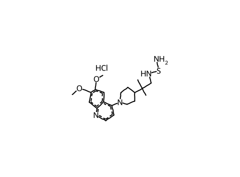 COc1cc2nccc(N3CCC(C(C)(C)CNSN)CC3)c2cc1OC.Cl